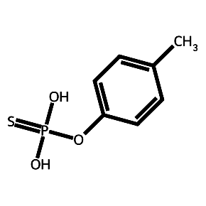 Cc1ccc(OP(O)(O)=S)cc1